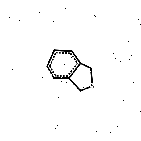 c1ccc2c(c1)CSC2